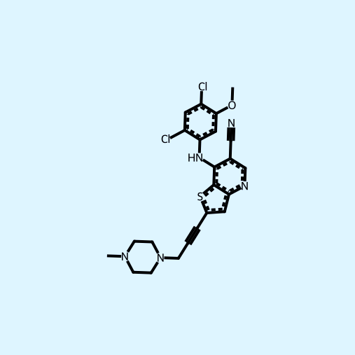 COc1cc(Nc2c(C#N)cnc3cc(C#CCN4CCN(C)CC4)sc23)c(Cl)cc1Cl